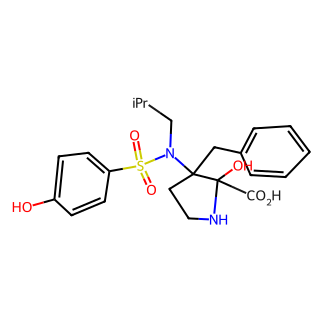 CC(C)CN(C1(Cc2ccccc2)CCNC1(O)C(=O)O)S(=O)(=O)c1ccc(O)cc1